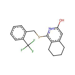 Oc1cc2c(c(SCc3ccccc3C(F)(F)F)n1)CCCC2